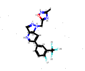 Cc1noc(Cn2ncc3ncc(-c4ccc(F)c(C(F)(F)F)c4)cc32)n1